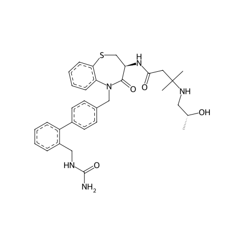 C[C@@H](O)CNC(C)(C)CC(=O)N[C@@H]1CSc2ccccc2N(Cc2ccc(-c3ccccc3CNC(N)=O)cc2)C1=O